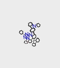 c1ccc(-c2nc(-c3ccccc3)nc(-n3c4cc5c6ccccc6n(-c6ccccc6)c5cc4c4ccc5c(c43)-c3ccccc3C53c4ccccc4-c4ccccc43)n2)cc1